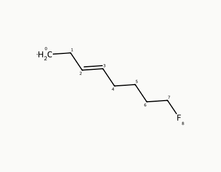 [CH2]CC=CCCCCF